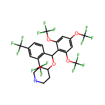 FC(F)(F)Oc1cc(OC(F)(F)F)c(C(OC2CC[N]CC2)c2ccc(C(F)(F)F)cc2C(F)(F)F)c(OC(F)(F)F)c1